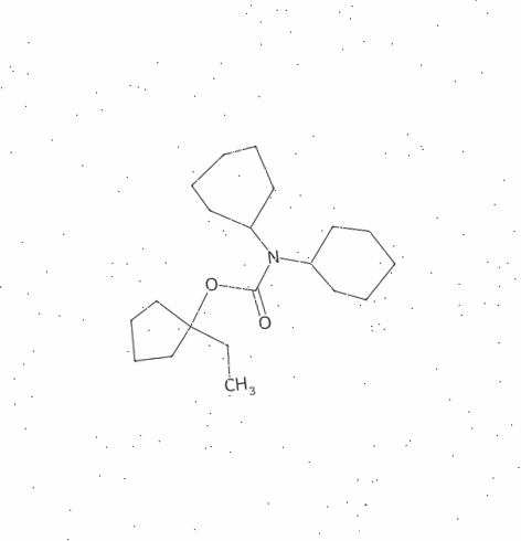 CCC1(OC(=O)N(C2CCCCC2)C2CCCCC2)CCCC1